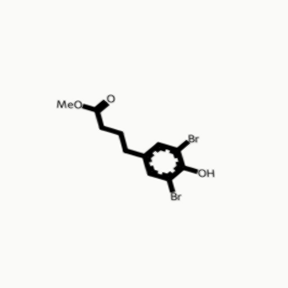 COC(=O)CCCc1cc(Br)c(O)c(Br)c1